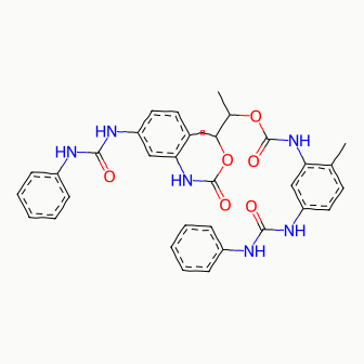 Cc1ccc(NC(=O)Nc2ccccc2)cc1NC(=O)OC(C)C(C)OC(=O)Nc1cc(NC(=O)Nc2ccccc2)ccc1C